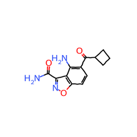 NC(=O)c1noc2ccc(C(=O)C3CCC3)c(N)c12